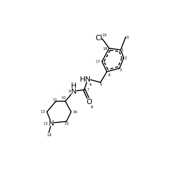 Cc1ccc(CNC(=O)NC2CCN(C)CC2)cc1Cl